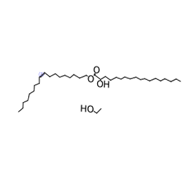 CCCCCCCC/C=C\CCCCCCCCOC(=O)C(O)CCCCCCCCCCCCCCCC.CCO